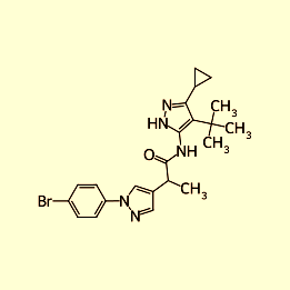 CC(C(=O)Nc1[nH]nc(C2CC2)c1C(C)(C)C)c1cnn(-c2ccc(Br)cc2)c1